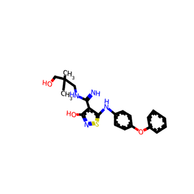 CC(C)(CO)CNC(=N)c1c(O)nsc1Nc1ccc(Oc2ccccc2)cc1